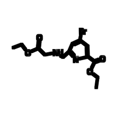 CCOC(=O)CNCc1cc(Br)cc(C(=O)OCC)n1